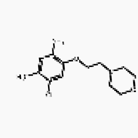 Cc1cc(N)c(OCCN2CCOCC2)cc1Cl